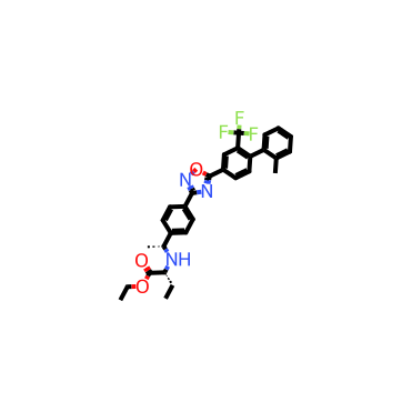 CCOC(=O)[C@@H](CC)N[C@H](C)c1ccc(-c2noc(-c3ccc(-c4ccccc4C)c(C(F)(F)F)c3)n2)cc1